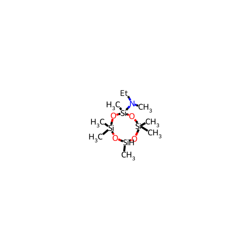 CCN(C)[Si]1(C)O[Si](C)(C)O[SiH](C)O[Si](C)(C)O1